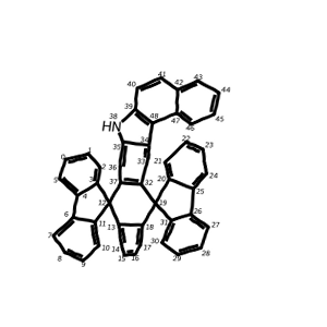 c1ccc2c(c1)-c1ccccc1C21c2ccccc2C2(c3ccccc3-c3ccccc32)c2cc3c(cc21)[nH]c1ccc2ccccc2c13